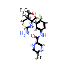 CCc1cnc(C(=O)Nc2ccc(F)c([C@]34CO[C@H](C(F)(F)F)[C@H]3CSC(N)=N4)c2)cn1